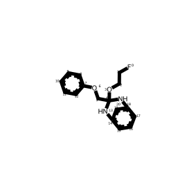 FCCOC1(COc2ccccc2)Nc2cccc(c2)N1